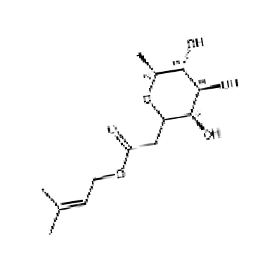 CC(C)=CCOC(=O)CC1O[C@@H](C)[C@H](O)[C@@H](O)[C@H]1O